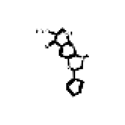 CN1CC(c2ccccc2)Oc2cc3c(=O)c(C(=O)O)c[nH]c3nc21